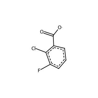 [O]C(=O)c1cccc(F)c1Cl